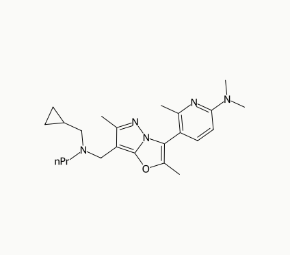 CCCN(Cc1c(C)nn2c(-c3ccc(N(C)C)nc3C)c(C)oc12)CC1CC1